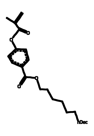 C=C(C)C(=O)Oc1ccc(C(=O)OCCCCCCCCCCCCCCCC)cc1